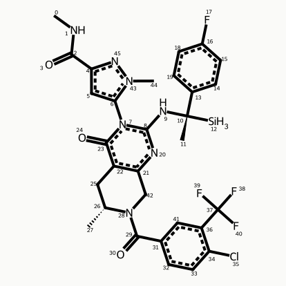 CNC(=O)c1cc(-n2c(N[C@@](C)([SiH3])c3ccc(F)cc3)nc3c(c2=O)C[C@@H](C)N(C(=O)c2ccc(Cl)c(C(F)(F)F)c2)C3)n(C)n1